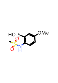 COc1ccc(NS(C)(=O)=O)c(S(=O)(=O)O)c1